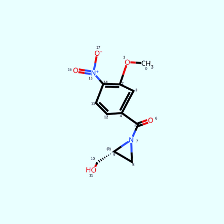 COc1cc(C(=O)N2C[C@@H]2CO)ccc1[N+](=O)[O-]